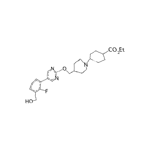 CCOC(=O)C1CCC(N2CCC(COc3ncc(-c4cccc(CO)c4F)cn3)CC2)CC1